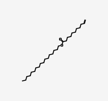 C=CCCCCCCCCC(=O)OCCCCCCCCCCCCCCCCC